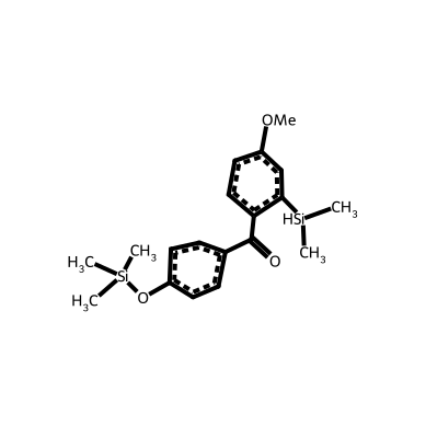 COc1ccc(C(=O)c2ccc(O[Si](C)(C)C)cc2)c([SiH](C)C)c1